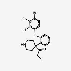 CCC(=O)C1(c2ccccc2Oc2ccc(Br)c(Cl)c2Cl)CCNCC1